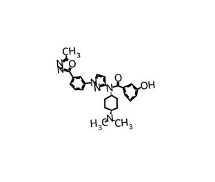 Cc1nnc(-c2cccc(-n3ccc(N(C(=O)c4cccc(O)c4)[C@H]4CC[C@H](N(C)C)CC4)n3)c2)o1